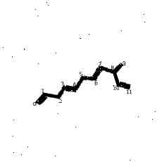 C=CCC=CCC=CC(C)C=C